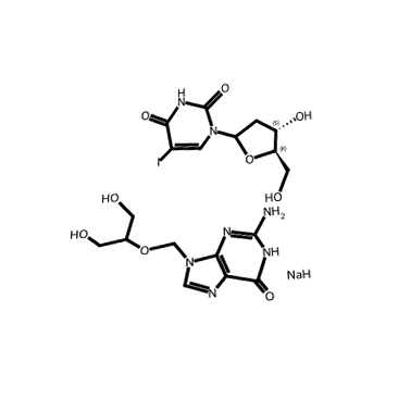 Nc1nc2c(ncn2COC(CO)CO)c(=O)[nH]1.O=c1[nH]c(=O)n(C2C[C@H](O)[C@@H](CO)O2)cc1I.[NaH]